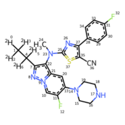 [2H]C([2H])([2H])C([2H])([2H])c1nn2cc(F)c(N3CCNCC3)cc2c1N(C)c1nc(-c2ccc(F)cc2)c(C#N)s1